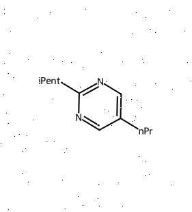 CCCc1cnc(C(C)CCC)nc1